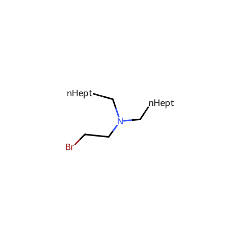 CCCCCCCCN(CCBr)CCCCCCCC